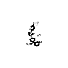 Cl.NC[C@]1(c2cccc(Cl)c2)CC[C@@H](N2CCN(c3ccc(C(=O)O)cn3)C2=O)CC1